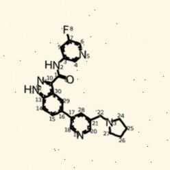 O=C(Nc1cncc(F)c1)c1n[nH]c2ccc(-c3cncc(CN4CCCC4)c3)cc12